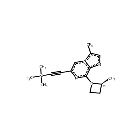 C[C@H]1CCN1c1nc(C#C[Si](C)(C)C)cn2c(C(F)(F)F)cnc12